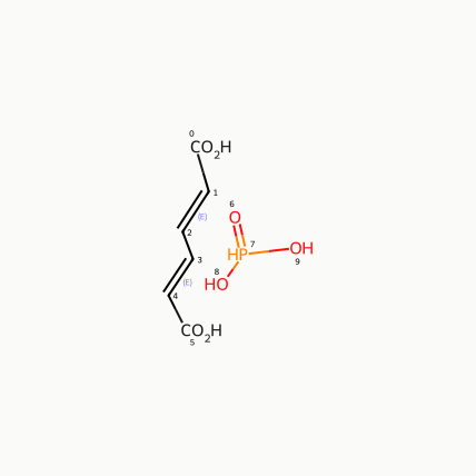 O=C(O)/C=C/C=C/C(=O)O.O=[PH](O)O